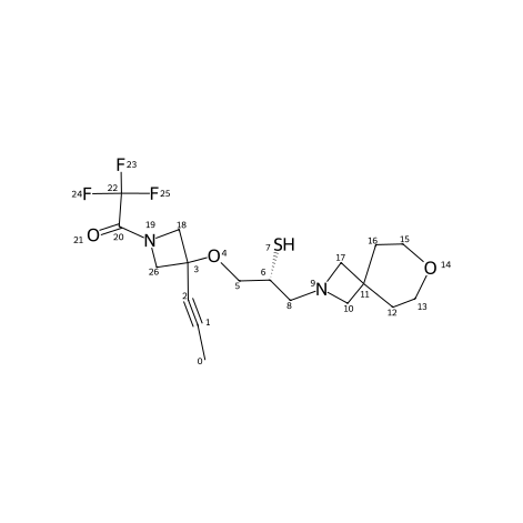 CC#CC1(OC[C@H](S)CN2CC3(CCOCC3)C2)CN(C(=O)C(F)(F)F)C1